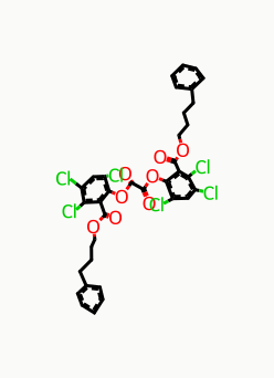 O=C(Oc1c(Cl)cc(Cl)c(Cl)c1C(=O)OCCCCc1ccccc1)C(=O)Oc1c(Cl)cc(Cl)c(Cl)c1C(=O)OCCCCc1ccccc1